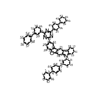 c1ccc(-c2ccc(-c3cccc(-n4c5ccccc5c5cc6c(cc54)oc4ccc(-c5nc(-c7ccc(-c8ccccc8)cc7)nc(-c7cccc(-c8ccccc8)c7)n5)cc46)c3)cc2)cc1